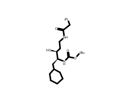 CC(C)CC(=O)NCC[C@H](O)[C@H](CC1CCCCC1)NC(=O)OC(C)(C)C